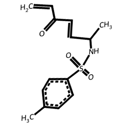 C=CC(=O)C=CC(C)NS(=O)(=O)c1ccc(C)cc1